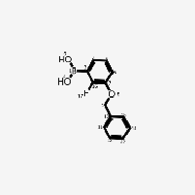 OB(O)c1cccc(OCc2ccccc2)c1F